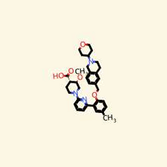 CO[C@@H]1CN(c2cccc(-c3cc(C)ccc3OCc3ccc4c(c3)CCN(C3CCOCC3)C4)n2)CC[C@@H]1C(=O)O